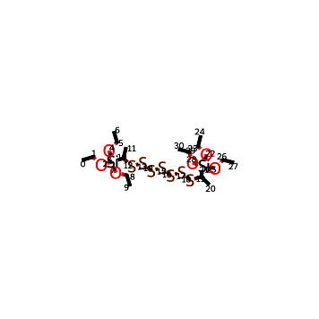 CCO[Si](OCC)(OCC)C(C)SSSSSSSC(C)[Si](OCC)(OCC)OCC